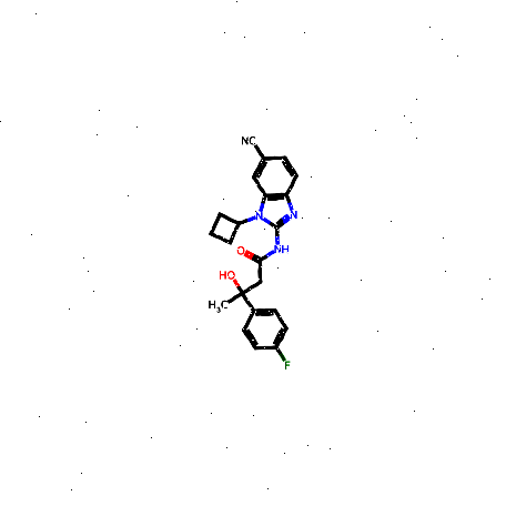 CC(O)(CC(=O)Nc1nc2ccc(C#N)cc2n1C1CCC1)c1ccc(F)cc1